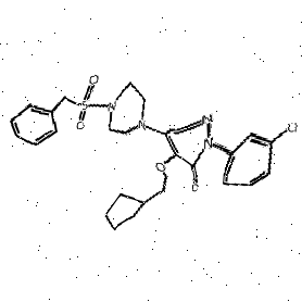 O=c1c(OCC2CCCC2)c(N2CCN(S(=O)(=O)Cc3ccccc3)CC2)cnn1-c1cccc(Cl)c1